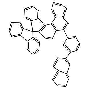 c1cc(-c2ccc3ccccc3c2)cc(-c2nc3ccccc3c3c4c(ccc23)C2(c3ccccc3-c3ccccc32)c2ccccc2-4)c1